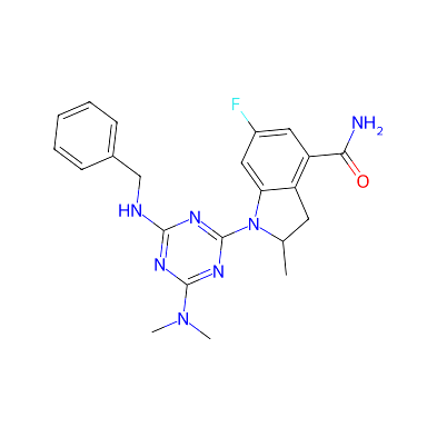 CC1Cc2c(C(N)=O)cc(F)cc2N1c1nc(NCc2ccccc2)nc(N(C)C)n1